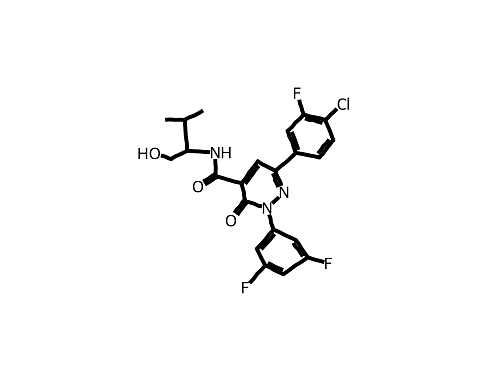 CC(C)C(CO)NC(=O)c1cc(-c2ccc(Cl)c(F)c2)nn(-c2cc(F)cc(F)c2)c1=O